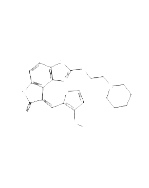 COc1cc[nH]c1/C=C1/C(=O)Nc2ccc3[nH]c(NCCN4CCCCC4)nc3c21